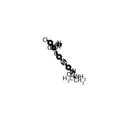 CC(N)C(C)n1cnn(-c2ccc(N3CCN(c4ccc(OC[C@@H]5CO[C@@](Cn6nccn6)(c6ccc(Cl)cc6Cl)O5)cc4)CC3)cc2)c1=O